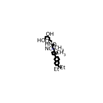 CCN(CC)c1ccc2cc(-c3ccc(/C(C)=C(\C#N)C(=O)NCC4CC(O)CC(O)O4)n3C)ccc2c1